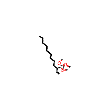 C=C[CH](CCCCCCCCC)[Ti]([O]C)([O]C)[O]C